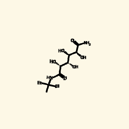 CCC(C)(CC)NC(=O)[C@H](O)[C@@H](O)[C@@H](O)[C@H](O)C(N)=O